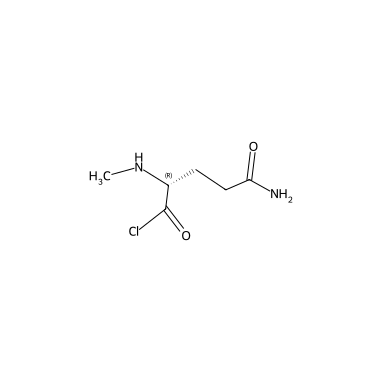 CN[C@H](CCC(N)=O)C(=O)Cl